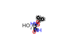 O=C(N[C@H](Cc1ccc(=O)[nH]c1)C(=O)O)OCC1c2ccccc2-c2ccccc21